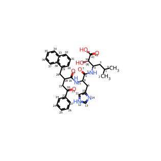 CC(C)CC(NC(=O)C(Cc1c[nH]cn1)NC(=O)C(CC(=O)c1ccccc1)Cc1cccc2ccccc12)[C@@H](O)C(=O)O